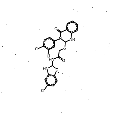 O=C(CSC1Nc2ccccc2C(=O)N1c1ccc(Cl)c(Cl)c1)NC1Nc2cc(Cl)ccc2O1